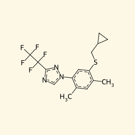 Cc1cc(C)c(-n2cnc(C(F)(F)C(F)(F)F)n2)cc1SCC1CC1